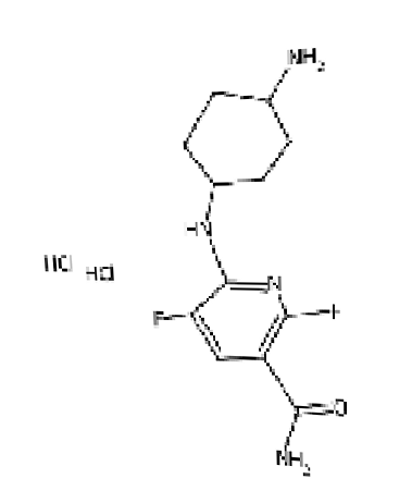 Cl.Cl.NC(=O)c1cc(F)c(NC2CCC(N)CC2)nc1F